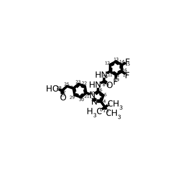 CC(C)(C)c1cc(NC(=O)Nc2ccc(F)c(F)c2F)n(-c2ccc(CC(=O)O)cc2)n1